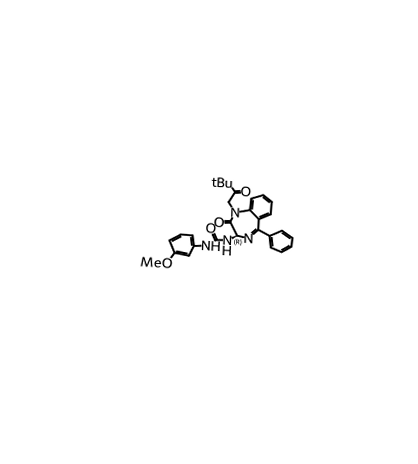 COc1cccc(NC(=O)N[C@@H]2N=C(c3ccccc3)c3ccccc3N(CC(=O)C(C)(C)C)C2=O)c1